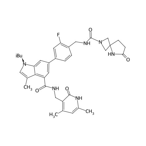 CC[C@H](C)n1cc(C)c2c(C(=O)NCc3c(C)cc(C)[nH]c3=O)cc(-c3ccc(CNC(=O)N4CC5(CCC(=O)N5)C4)c(F)c3)cc21